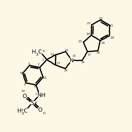 CC1(c2cccc(NS(C)(=O)=O)c2)C2CN(CC3Cc4ccccc4C3)CC21